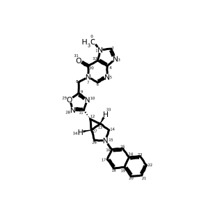 Cn1cnc2ncn(Cc3nc([C@@H]4[C@@H]5CN(c6ccc7ccccc7c6)C[C@@H]54)no3)c(=O)c21